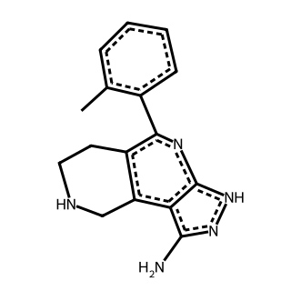 Cc1ccccc1-c1nc2[nH]nc(N)c2c2c1CCNC2